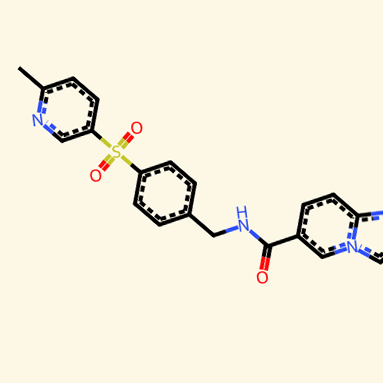 Cc1ccc(S(=O)(=O)c2ccc(CNC(=O)c3ccc4nccn4c3)cc2)cn1